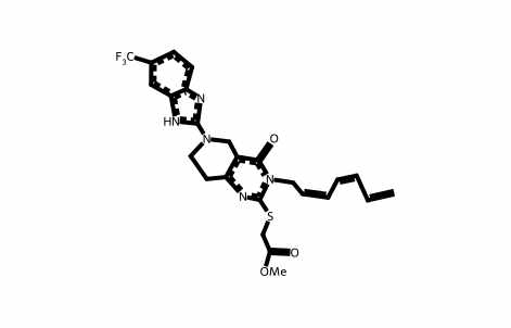 C=C/C=C\C=C/Cn1c(SCC(=O)OC)nc2c(c1=O)CN(c1nc3ccc(C(F)(F)F)cc3[nH]1)CC2